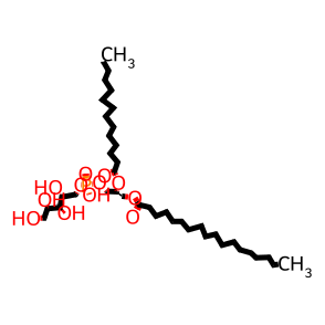 CCCCCCCCCCCCCCCCCC(=O)OC[C@H](COP(=O)(O)OC[C@@H](O)[C@@H](O)[C@H](O)CO)OC(=O)CCCCCCCCCCCCC